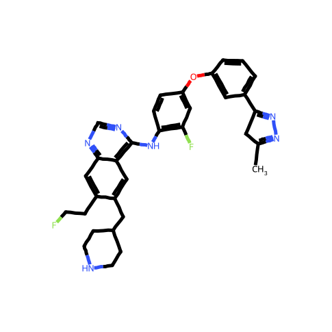 CC1=NN=C(c2cccc(Oc3ccc(Nc4ncnc5cc(CCF)c(CC6CCNCC6)cc45)c(F)c3)c2)C1